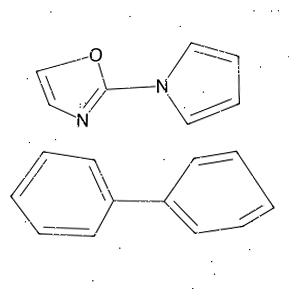 c1ccc(-c2ccccc2)cc1.c1ccn(-c2ncco2)c1